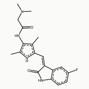 Cc1[nH]c(/C=C2\C(=O)Nc3ccc(F)cc32)c(C)c1NC(=O)CN(C)C